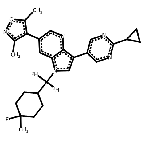 [2H]C([2H])(C1CCC(C)(F)CC1)n1cc(-c2cnc(C3CC3)nc2)c2ncc(-c3c(C)noc3C)cc21